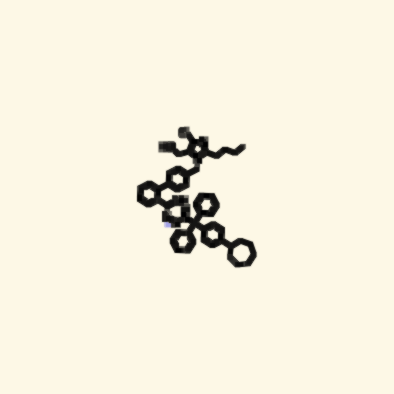 CCCCc1nc(Cl)c(CO)n1Cc1ccc(-c2ccccc2C(=N)/N=N\NC(c2ccccc2)(c2ccccc2)c2ccc(C3CCCCCC3)cc2)cc1